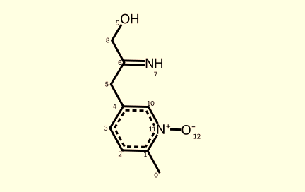 Cc1ccc(CC(=N)CO)c[n+]1[O-]